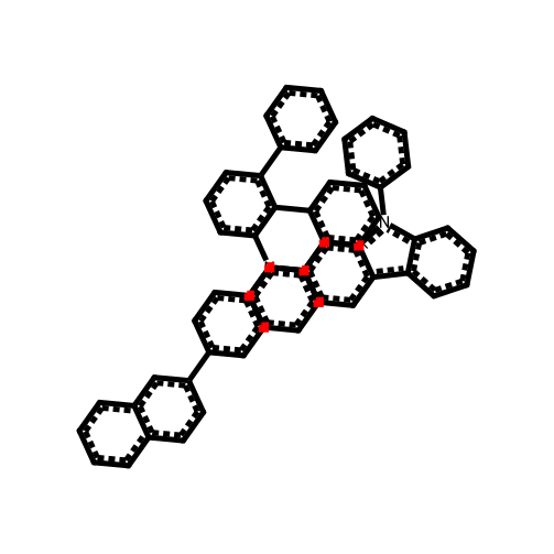 c1ccc(-c2ccccc2-c2c(-c3ccccc3)cccc2N(c2ccc(-c3ccc4ccccc4c3)cc2)c2ccc3c4ccccc4n(-c4ccccc4)c3c2)cc1